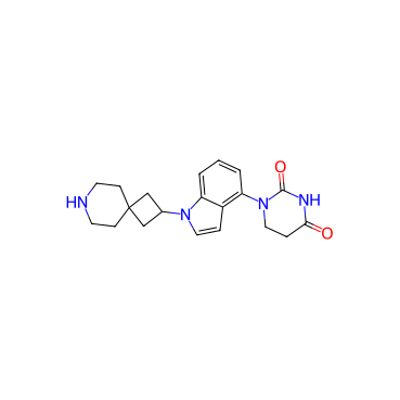 O=C1CCN(c2cccc3c2ccn3C2CC3(CCNCC3)C2)C(=O)N1